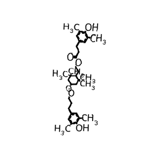 Cc1cc(CCCOOC2CC(C)(C)C(CCOC(=O)CCc3cc(C)c(O)c(C)c3)C(C)(C)C2)cc(C)c1O